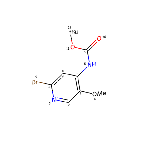 COc1cnc(Br)cc1NC(=O)OC(C)(C)C